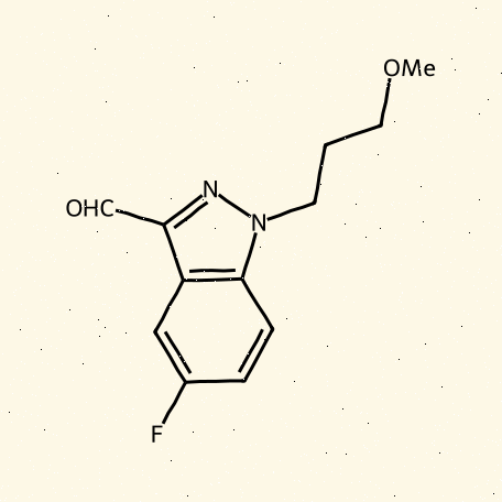 COCCCn1nc(C=O)c2cc(F)ccc21